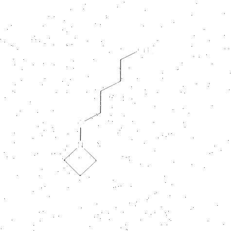 CCCCCON1CCC1